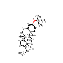 CC(C)(C)[Si](C)(C)Oc1ccc2c(c1)CC[C@@H]1[C@@H]2CC[C@]2(C)C(CC(=O)O)=CC[C@@H]12